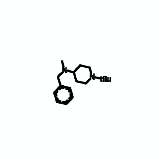 CN(Cc1ccccc1)C1CCN(C(C)(C)C)CC1